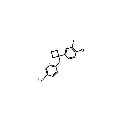 Nc1ccc(OC2(c3ccc(Cl)c(F)c3)CCC2)nc1